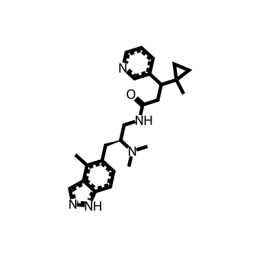 Cc1c(C[C@@H](CNC(=O)CC(c2cccnc2)C2(C)CC2)N(C)C)ccc2[nH]ncc12